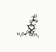 CCOC(=O)[C@]1(CC)CC[C@@H](OC(=O)CCl)CC1